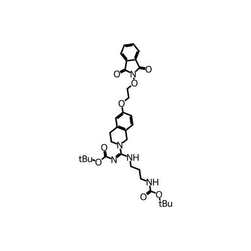 CC(C)(C)OC(=O)/N=C(/NCCCNC(=O)OC(C)(C)C)N1CCc2cc(OCCON3C(=O)c4ccccc4C3=O)ccc2C1